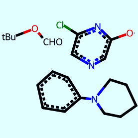 CC(C)(C)OC=O.[O]c1cncc(Cl)n1.c1ccc(N2CCCCC2)cc1